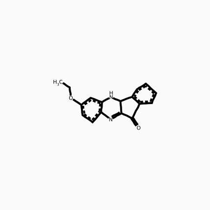 CCOc1ccc2c(c1)NC1C(=N2)C(=O)c2ccccc21